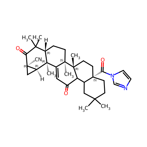 CC1(C)CC[C@]2(C(=O)n3ccnc3)CC[C@]3(C)C(C(=O)C=C4[C@@]5(C)[C@H]6C[C@@]6(C#N)C(=O)C(C)(C)[C@@H]5CC[C@]43C)C2C1